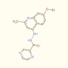 CCOc1ccc2c(NNC(=O)c3cnccn3)cc(C)nc2c1